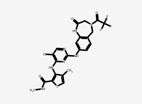 CNC(=O)c1scc(C)c1Nc1nc(Nc2ccc3c(c2)NC(=O)CN(C(=O)C(F)(F)F)C3)ncc1Cl